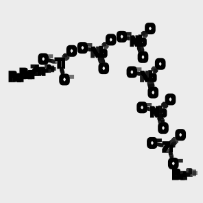 [Ba+2].[Ba+2].[Ba+2].[O]=[Nb](=[O])[O-].[O]=[Nb](=[O])[O-].[O]=[Nb](=[O])[O-].[O]=[Nb](=[O])[O-].[O]=[Ti]([O-])[O-].[O]=[Zr]([O-])[O-].[Zn+2]